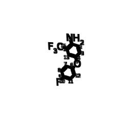 Nc1ccc(Oc2ccc(F)cc2)cc1C(F)(F)F